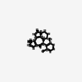 Fc1cccc(F)c1C1=Nc2cn[nH]c2-c2cnn3c2N1CCC3